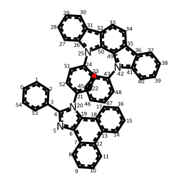 c1ccc(-c2nc3c4ccccc4c4ccccc4c3n2-c2ccc(-n3c4ccccc4c4ccc5c6ccccc6n(-c6ccccc6)c5c43)cc2)cc1